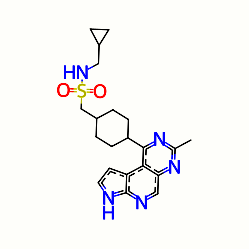 Cc1nc(C2CCC(CS(=O)(=O)NCC3CC3)CC2)c2c(cnc3[nH]ccc32)n1